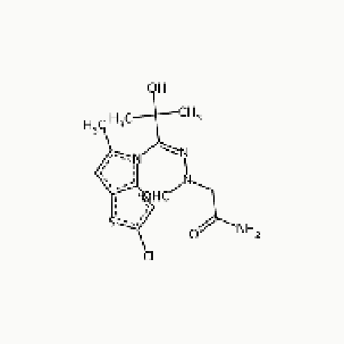 Cc1cc2sc(Cl)cc2n1/C(=N\N(C=O)CC(N)=O)C(C)(C)O